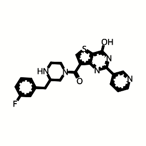 O=C(c1csc2c(O)nc(-c3cccnc3)nc12)N1CCNC(Cc2cccc(F)c2)C1